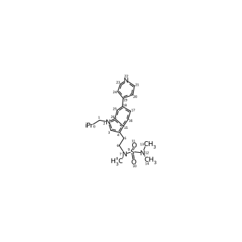 CC(C)Cn1cc(CCN(C)S(=O)(=O)N(C)C)c2ccc(-c3ccncc3)cc21